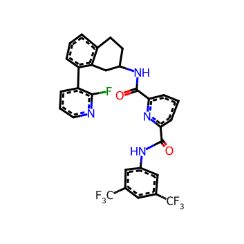 O=C(Nc1cc(C(F)(F)F)cc(C(F)(F)F)c1)c1cccc(C(=O)NC2CCc3cccc(-c4cccnc4F)c3C2)n1